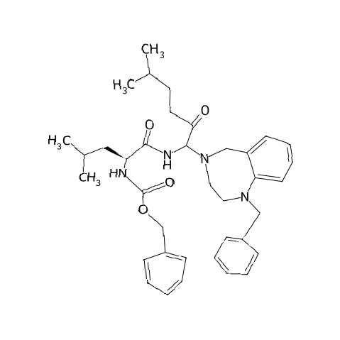 CC(C)CCC(=O)C(NC(=O)[C@H](CC(C)C)NC(=O)OCc1ccccc1)N1CCN(Cc2ccccc2)c2ccccc2C1